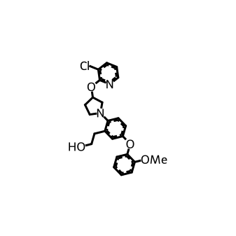 COc1ccccc1Oc1ccc(N2CCC(Oc3ncccc3Cl)C2)c(CCO)c1